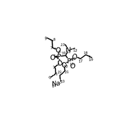 CCCOP(=O)(OCCC)C(N(C)C)P(=O)(OCCC)OCCC.[Na]